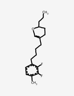 CCCC1CCC(CCCCc2ccc(C)c(F)c2F)=CO1